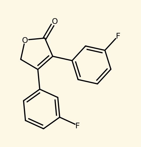 O=C1OCC(c2cccc(F)c2)=C1c1cccc(F)c1